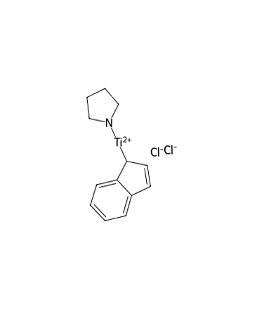 C1=C[CH]([Ti+2][N]2CCCC2)c2ccccc21.[Cl-].[Cl-]